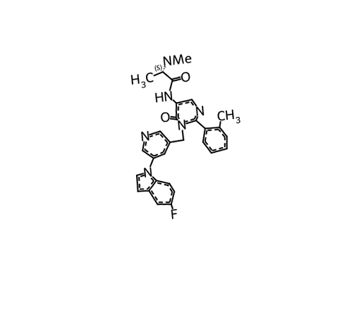 CN[C@@H](C)C(=O)Nc1cnc(-c2ccccc2C)n(Cc2cncc(-n3ccc4cc(F)ccc43)c2)c1=O